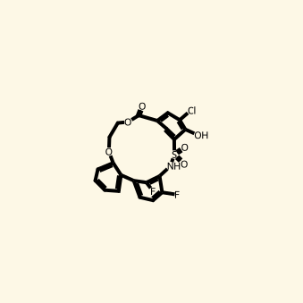 O=C1OCCOc2ccccc2-c2ccc(F)c(c2F)NS(=O)(=O)c2cc1cc(Cl)c2O